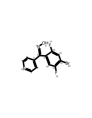 ON=C(c1ccncc1)c1cc(F)c(Br)cc1F